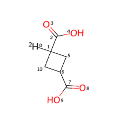 [2H]C1(C(=O)O)CC(C(=O)O)C1